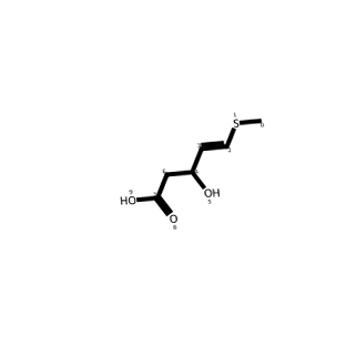 CS/C=C/C(O)CC(=O)O